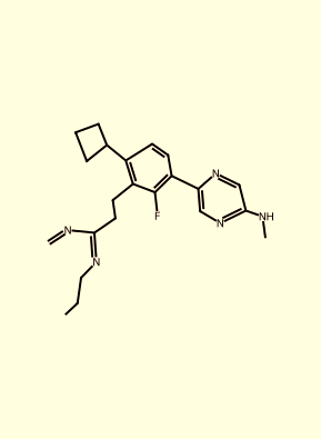 C=N/C(CCc1c(C2CCC2)ccc(-c2cnc(NC)cn2)c1F)=N\CCC